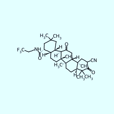 CC1(C)C[C@H]2[C@H](CC[C@]3(C)[C@@H]2C(=O)C[C@@H]2[C@@]4(C)CC(C#N)C(=O)C(C)(C)[C@@H]4CC[C@]23C)[C@H](C(=O)NCC(F)(F)F)C1